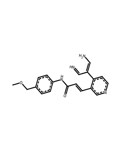 COCc1ccc(NC(=O)/C=C/c2cnccc2/C(C=N)=C/N)cc1